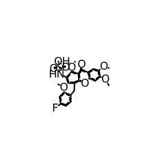 COc1cc2oc3c(Cc4ccc(F)cc4)c(OC)c(NS(=O)(=O)O)c(OC)c3c(=O)c2cc1OC